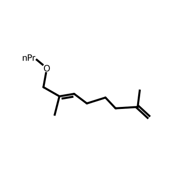 C=C(C)CCCC=C(C)COCCC